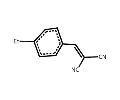 CCc1ccc(C=C(C#N)C#N)cc1